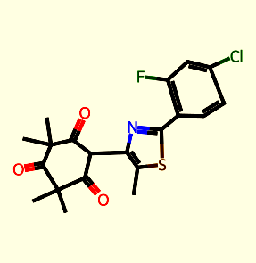 Cc1sc(-c2ccc(Cl)cc2F)nc1C1C(=O)C(C)(C)C(=O)C(C)(C)C1=O